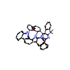 CC1(C)c2ccccc2-c2c(-c3ccccc3-n3c4ccccc4c4ccc5c6ccccc6n(-c6ccccc6)c5c43)nc(-c3ccccc3)nc21